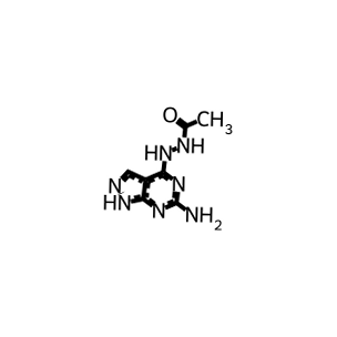 CC(=O)NNc1nc(N)nc2[nH]ncc12